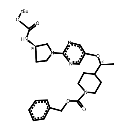 C[C@H](Oc1cnc(N2CC[C@@H](NC(=O)OC(C)(C)C)C2)nc1)C1CCN(C(=O)OCc2ccccc2)CC1